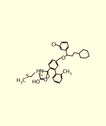 CSCC[C@H](NC(=O)c1ccc(COC(CCC2CCCCC2)c2cccc(Cl)c2)cc1-c1ccccc1C)C(=O)O